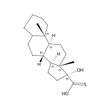 C[C@]12CCCCC1CC[C@@H]1[C@@H]2CC[C@@]2(C)[C@H]1CC[C@]2(O)C(O)=S